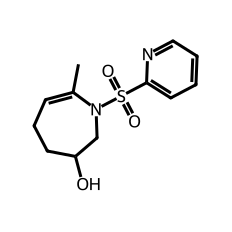 CC1=CCCC(O)CN1S(=O)(=O)c1ccccn1